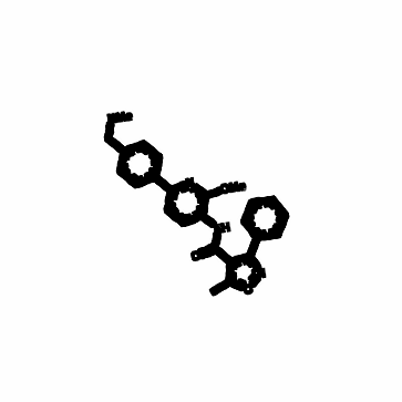 CNCc1ccc(-c2ccc(NC(=O)c3c(-c4ccccc4)noc3C)c(OC)n2)cc1